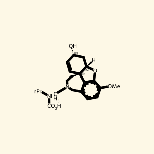 CCCNC(=O)O.COc1ccc2c3c1O[C@H]1C[C@@H](O)C=C[C@@]31CCN(C)C2